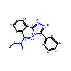 CCN(C)c1nn2c(-c3ccccc3)nnc2c2ccccc12